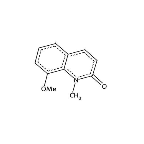 COc1cc[c]c2ccc(=O)n(C)c12